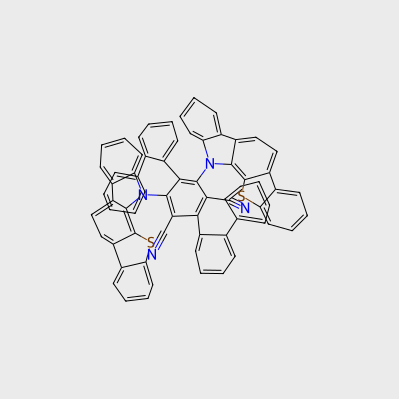 N#Cc1c(-c2ccccc2-c2ccccc2)c(C#N)c(-n2c3ccccc3c3ccc4c5ccccc5sc4c32)c(-c2ccccc2-c2ccccc2)c1-n1c2ccccc2c2ccc3c4ccccc4sc3c21